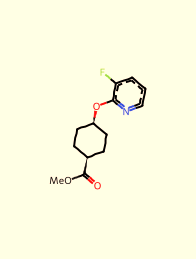 COC(=O)[C@H]1CC[C@@H](Oc2ncccc2F)CC1